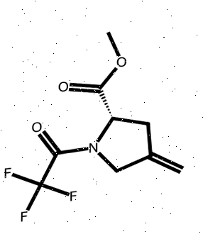 C=C1C[C@@H](C(=O)OC)N(C(=O)C(F)(F)F)C1